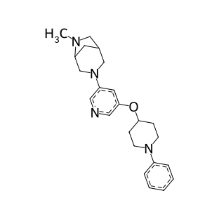 CN1CC2CC1CN(c1cncc(OC3CCN(c4ccccc4)CC3)c1)C2